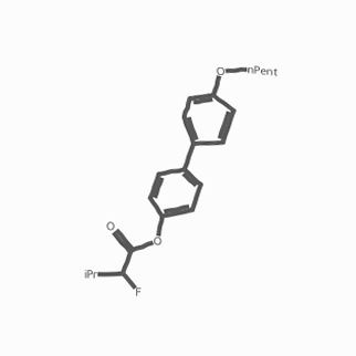 CCCCCOc1ccc(-c2ccc(OC(=O)C(F)C(C)C)cc2)cc1